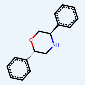 c1ccc([C@@H]2CO[C@@H](c3ccccc3)CN2)cc1